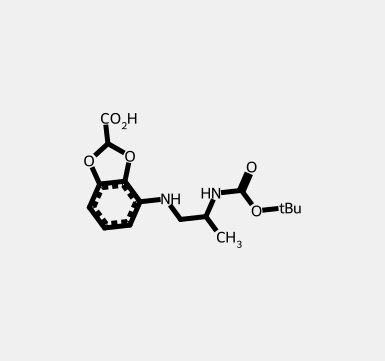 CC(CNc1cccc2c1OC(C(=O)O)O2)NC(=O)OC(C)(C)C